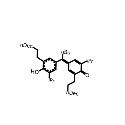 CCCCCCCCCCCCC1=CC(=C(CCCC)c2cc(CCCCCCCCCCCC)c(O)c(C(C)C)c2)C=C(C(C)C)C1=O